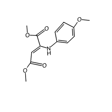 COC(=O)/C=C(\Nc1ccc(OC)cc1)C(=O)OC